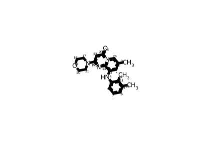 Cc1cc(Nc2cccc(C)c2C)c2nc(N3CCOCC3)cc(=O)n2c1